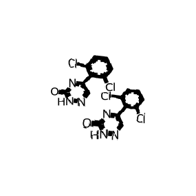 O=c1nc(-c2c(Cl)cccc2Cl)cn[nH]1.O=c1nc(-c2c(Cl)cccc2Cl)cn[nH]1